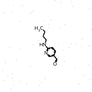 CCCCNc1ccc(C=O)cn1